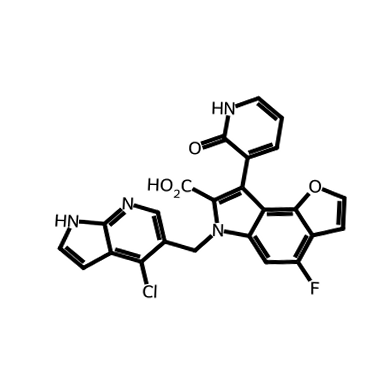 O=C(O)c1c(-c2ccc[nH]c2=O)c2c3occc3c(F)cc2n1Cc1cnc2[nH]ccc2c1Cl